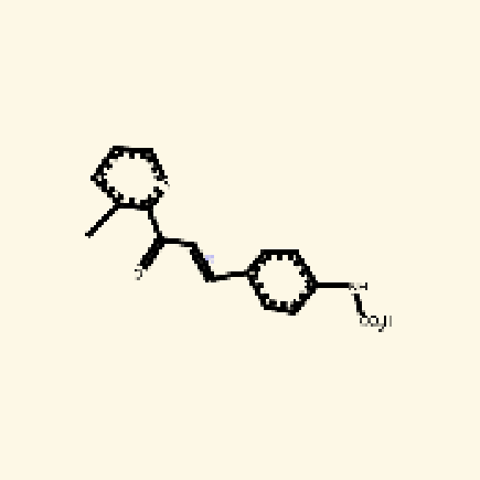 Cc1cccnc1C(=O)/C=C/c1ccc(NC(=O)O)cc1